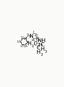 CC(C)(C)N[C@H]1CCN(Cc2ccccc2)C1